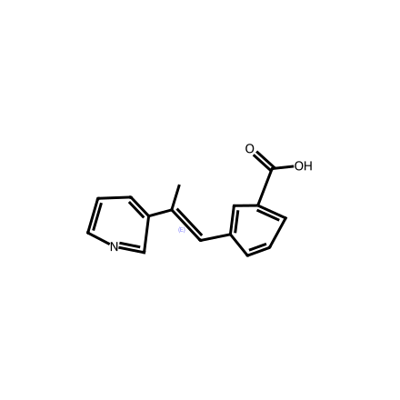 C/C(=C\c1cccc(C(=O)O)c1)c1cccnc1